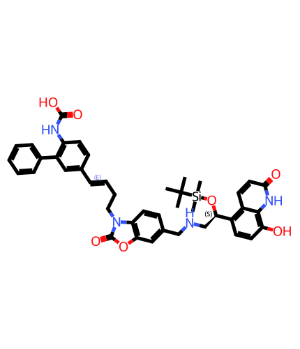 CC(C)(C)[Si](C)(C)O[C@H](CNCc1ccc2c(c1)oc(=O)n2CC/C=C/c1ccc(NC(=O)O)c(-c2ccccc2)c1)c1ccc(O)c2[nH]c(=O)ccc12